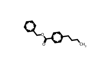 CCCCc1ccc(C(=O)OCc2ccccc2)cc1